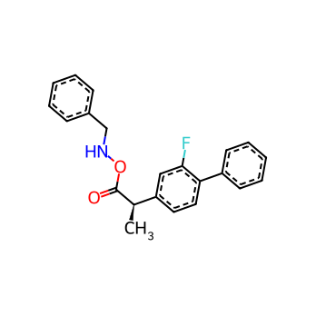 C[C@@H](C(=O)ONCc1ccccc1)c1ccc(-c2ccccc2)c(F)c1